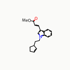 COC(=O)C=Cc1cn(CCC2C=CCC2)c2ccccc12